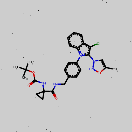 CC1=CN(c2c(Cl)c3ccccc3n2-c2ccc(CNC(=O)C3(NC(=O)OC(C)(C)C)CC3)cc2)NO1